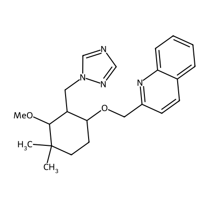 COC1C(Cn2cncn2)C(OCc2ccc3ccccc3n2)CCC1(C)C